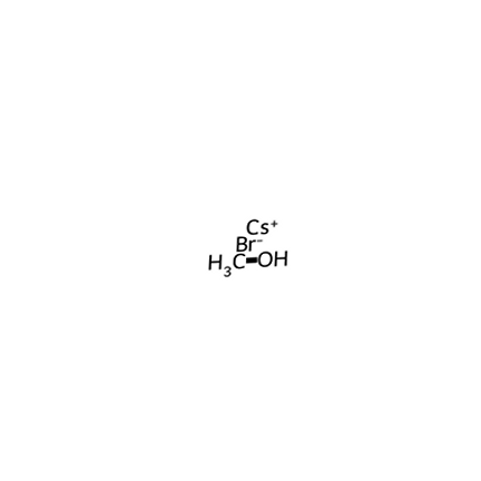 CO.[Br-].[Cs+]